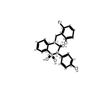 O=C1N(Cc2c(F)cccc2Cl)c2ccccc2S(=O)(=O)N1c1ccc(Cl)cc1